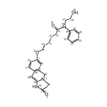 O=C1CN2Cc3cc(OCCCCCC(=O)N(CCO)c4ccccc4)ccc3N=C2N1